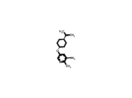 Cc1ncc(O[C@H]2CC[C@H](C(C)C)CC2)cc1N